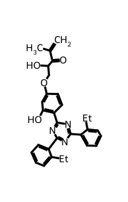 C=C(C)C(=O)C(O)COc1ccc(-c2nc(-c3ccccc3CC)nc(-c3ccccc3CC)n2)c(O)c1